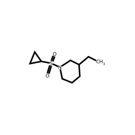 CCC1CCCN(S(=O)(=O)C2CC2)C1